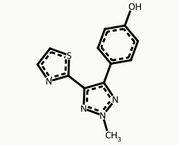 Cn1nc(-c2ccc(O)cc2)c(-c2nccs2)n1